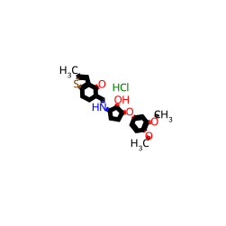 COc1ccc(OC2CCC(NCC3CCc4sc(C)cc4C3=O)C2O)cc1OC.Cl